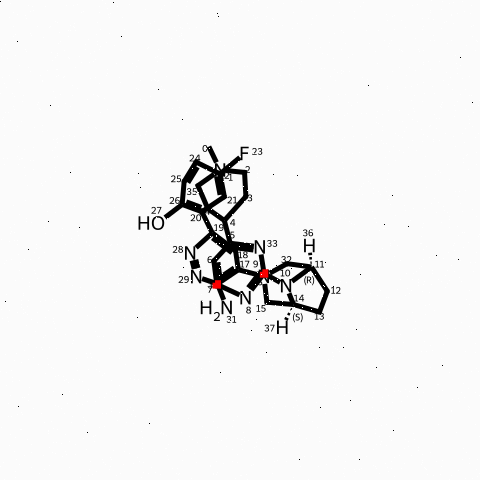 CN1CCC(c2ccnc(N3[C@@H]4CC[C@H]3CN(c3cc(-c5cc(F)ccc5O)nnc3N)C4)n2)CC1